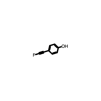 Oc1ccc(C#CF)cc1